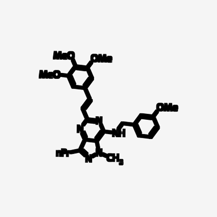 CCCc1nn(C)c2c(NCc3cccc(OC)c3)nc(C=Cc3cc(OC)c(OC)c(OC)c3)nc12